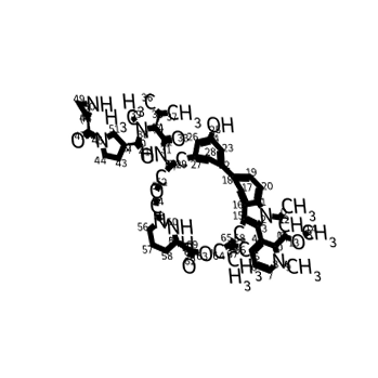 CCn1c(C2=CC=CN(C)C2[C@H](C)OC)c2c3cc(ccc31)-c1cc(O)cc(c1)C[C@H](NC(=O)[C@H](C(C)C)N(C)C(=O)[C@H]1CCN(C(=O)[C@H]3CN3)C1)COCN1CCC[C@H](N1)C(=O)OCC(C)(C)C2